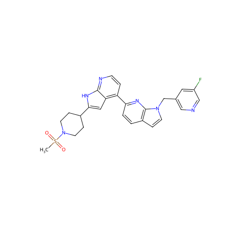 CS(=O)(=O)N1CCC(c2cc3c(-c4ccc5ccn(Cc6cncc(F)c6)c5n4)ccnc3[nH]2)CC1